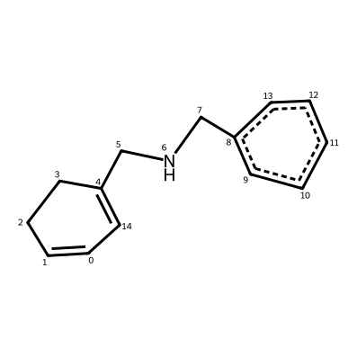 C1=CCCC(CNCc2ccccc2)=C1